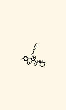 Cc1ccc2c(c1)OCc1c(C(=O)NC3CCCCC3)nn(CCCCCCl)c1-2